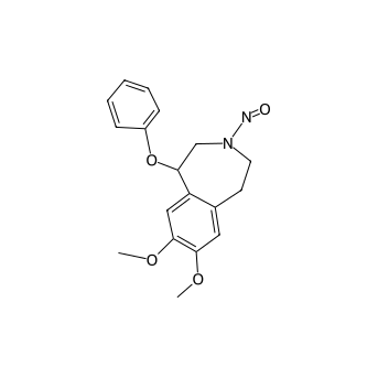 COc1cc2c(cc1OC)C(Oc1ccccc1)CN(N=O)CC2